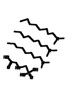 CCCCCCCCN(C)C.CCCCCCCCN(C)C.CCCCCCCCN(C)C.O=C(O)CNCP(=O)(O)O